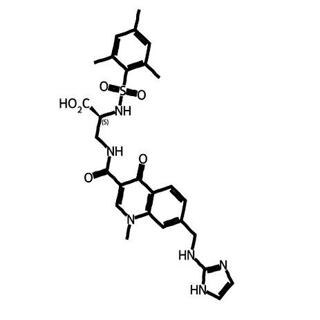 Cc1cc(C)c(S(=O)(=O)N[C@@H](CNC(=O)c2cn(C)c3cc(CNc4ncc[nH]4)ccc3c2=O)C(=O)O)c(C)c1